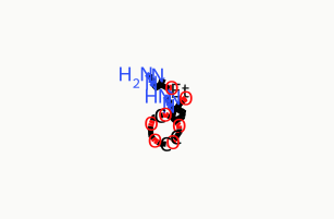 CCn1c(NC(=O)c2cnc(N)nc2)nc2c3c(ccc2c1=O)OCCOCCOCCOCCO3